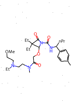 CCCC(NC(=O)N1C(=O)C(CC)(CC)C1OCC(=O)N(C)CCN(CC)CCOC)c1ccc(C)cc1